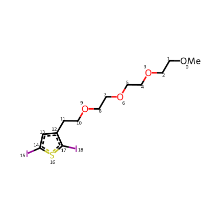 COCCOCCOCCOCCc1cc(I)sc1I